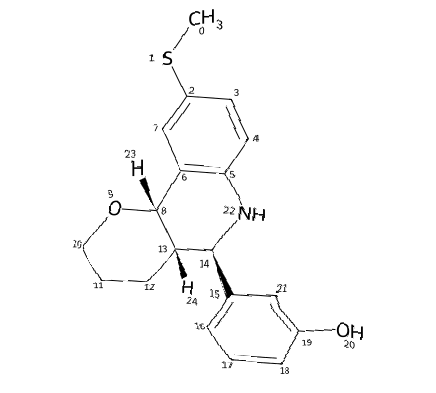 CSc1ccc2c(c1)[C@H]1OCCC[C@H]1[C@H](c1cccc(O)c1)N2